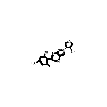 Cc1cc(C(F)(F)F)cc(O)c1-c1cnc2cn([C@@H]3COC[C@H]3O)nc2n1